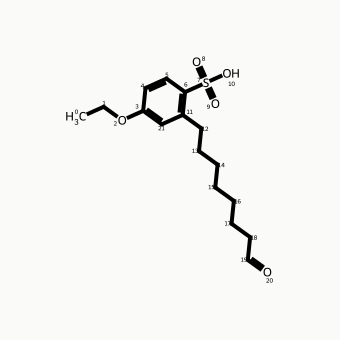 CCOc1ccc(S(=O)(=O)O)c(CCCCCCCC=O)c1